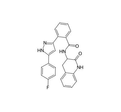 O=C(NC1Cc2ccccc2NC1=O)c1ccccc1-c1cc(-c2ccc(F)cc2)[nH]n1